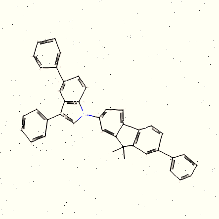 CC1(C)c2cc(-c3ccccc3)ccc2-c2ccc(-n3cc(-c4ccccc4)c4cc(-c5ccccc5)ccc43)cc21